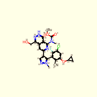 CN(C(=O)OC(C)(C)C)c1nc(-c2cnn(C)c2-c2c(F)c(Cl)cc(OC3CC3)c2C#N)cc2c(CO)n[nH]c(=O)c12